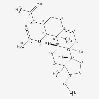 CC[C@H]1CC[C@H]2[C@@H]3CC=C4CCC(OC(C)=O)C(OC(C)=O)[C@]4(C)[C@H]3CC[C@]12C